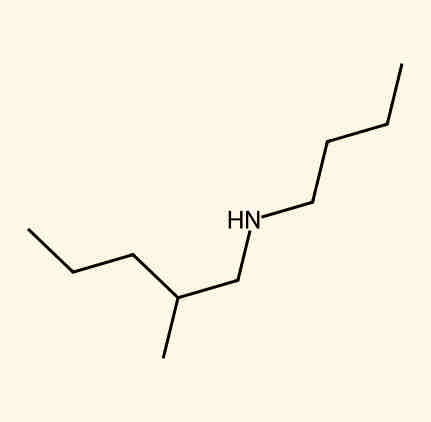 CCCCNCC(C)CCC